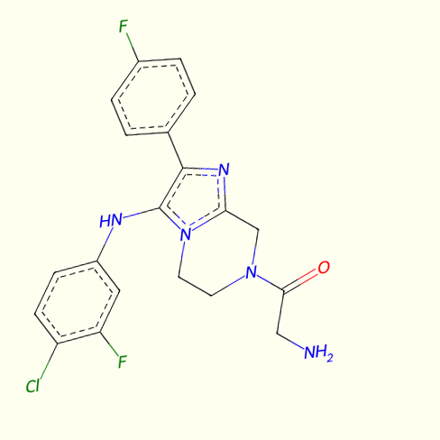 NCC(=O)N1CCn2c(nc(-c3ccc(F)cc3)c2Nc2ccc(Cl)c(F)c2)C1